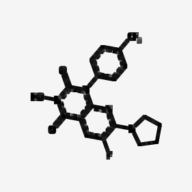 O=c1c2cc(F)c(N3CCCC3)nc2n(-c2ccc(C(F)(F)F)cc2)c(=O)n1O